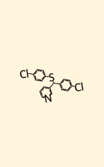 Clc1ccc(SC(c2ccc(Cl)cc2)c2cccnc2)cc1